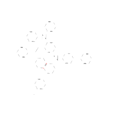 CC(C)(C)c1ccc(-c2ccc(N(c3ccc(-c4ccc(C(C)(C)C)cc4)cc3)c3ccc4c(c3)C(=C(c3ccccc3)c3ccccc3)c3ccccc3N4c3ccccc3)cc2)cc1